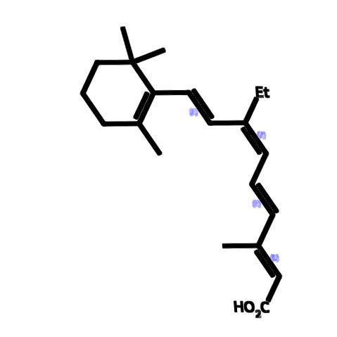 CCC(=C/C=C/C(C)=C/C(=O)O)/C=C/C1=C(C)CCCC1(C)C